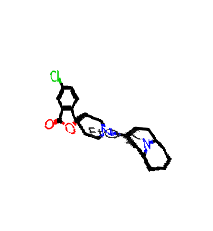 CCOC(=O)N1C2CCCCC1CC(N1CCC3(CC1)OC(=O)c1cc(Cl)ccc13)CC2